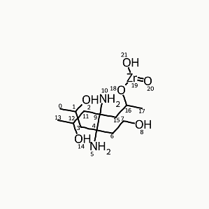 CC(O)CC(N)(CCO)C(N)(CC(C)O)CC(C)[O][Zr](=[O])[OH]